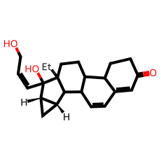 CCC12CCC3C4CCC(=O)C=C4C=CC3C1[C@@H]1C[C@@H]1C2(O)/C=C\CO